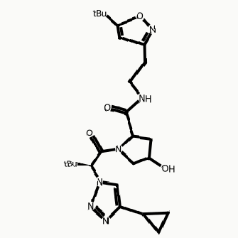 CC(C)(C)c1cc(CCNC(=O)C2CC(O)CN2C(=O)[C@@H](n2cc(C3CC3)nn2)C(C)(C)C)no1